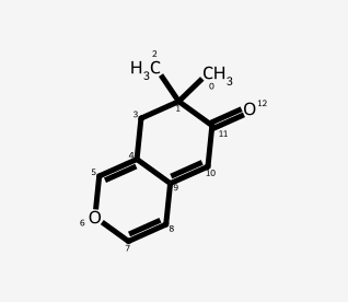 CC1(C)CC2=COC=CC2=CC1=O